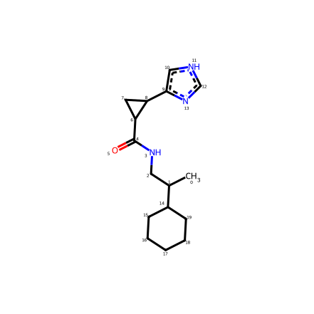 CC(CNC(=O)C1CC1c1c[nH]cn1)C1CCCCC1